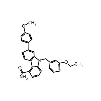 CCOc1cccc(Cn2c3cc(-c4ccc(OC)cc4)c[c]c3c3c(C(N)=O)cccc32)c1